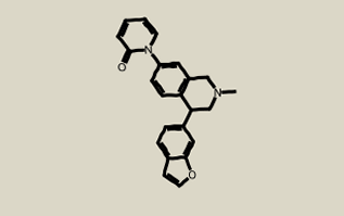 CN1Cc2cc(-n3ccccc3=O)ccc2C(c2ccc3ccoc3c2)C1